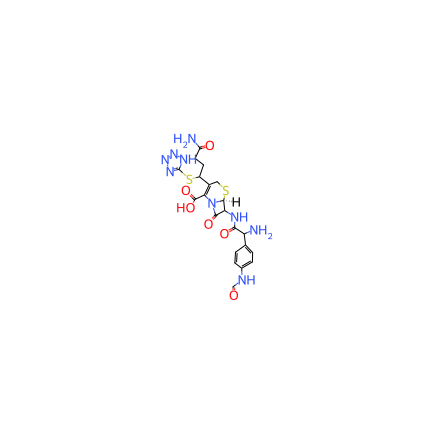 NC(=O)CCC(Sc1nnn[nH]1)C1=C(C(=O)O)N2C(=O)C(NC(=O)C(N)c3ccc(NC=O)cc3)[C@@H]2SC1